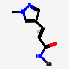 CCNC(=O)/C=C/c1cnn(C)c1